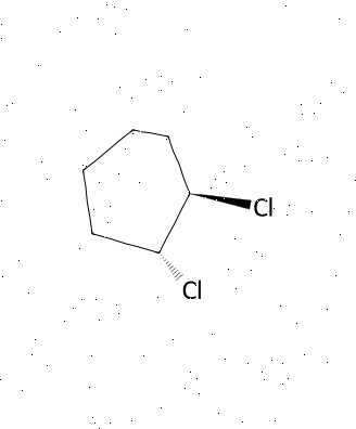 Cl[C@@H]1CCCC[C@H]1Cl